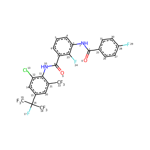 O=C(Nc1cccc(C(=O)Nc2c(Cl)cc(C(F)(C(F)(F)F)C(F)(F)F)cc2C(F)(F)F)c1F)c1ccc(F)cc1